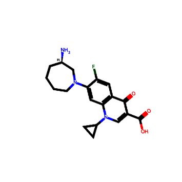 N[C@@H]1CCCCN(c2cc3c(cc2F)c(=O)c(C(=O)O)cn3C2CC2)C1